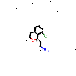 NCC[C@H]1OCCc2cccc(Cl)c21